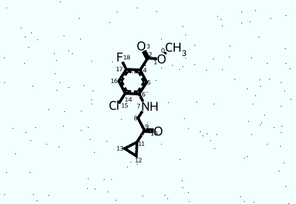 COC(=O)c1cc(NCC(=O)C2CC2)c(Cl)cc1F